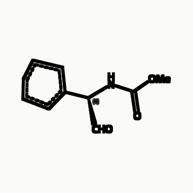 COC(=O)N[C@@H](C=O)c1ccccc1